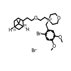 COc1cc(Br)c(C[N+]2(CCOCCC3CC[C@H]4C[C@H]3C4(C)C)CCOCC2)cc1OC.[Br-]